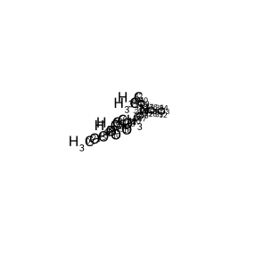 CCOCCOCCOC(=O)C(C)CC(C(=O)OCCCc1ccc(N(c2ccc(-c3ccccc3)cc2)c2ccc(C)c(C)c2)cc1)C(C)C